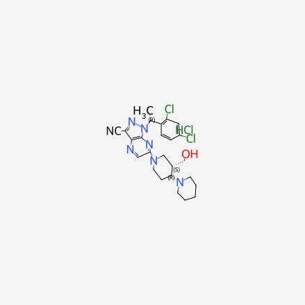 C[C@H](c1ccc(Cl)cc1Cl)n1nc(C#N)c2ncc(N3CC[C@@H](N4CCCCC4)[C@@H](CO)C3)nc21.Cl